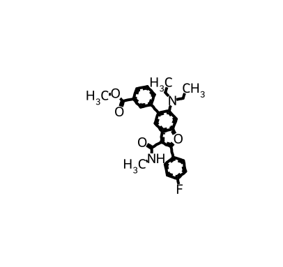 CCN(CC)c1cc2oc(-c3ccc(F)cc3)c(C(=O)NC)c2cc1-c1cccc(C(=O)OC)c1